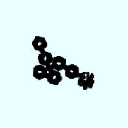 CC1(C)OB(c2ccc(-c3cccc(C4(c5ccc(-c6ccccc6)cc5)c5ccccc5-c5ccccc54)c3)cc2)OC1(C)C